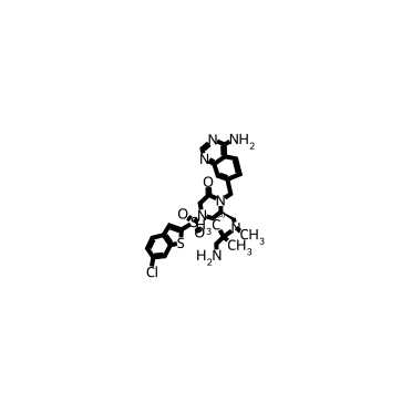 CN(C[C@H]1CN(S(=O)(=O)c2cc3ccc(Cl)cc3s2)CC(=O)N1Cc1ccc2c(N)ncnc2c1)C(C)(C)CN